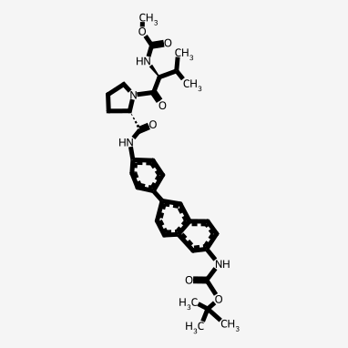 COC(=O)N[C@H](C(=O)N1CCC[C@H]1C(=O)Nc1ccc(-c2ccc3cc(NC(=O)OC(C)(C)C)ccc3c2)cc1)C(C)C